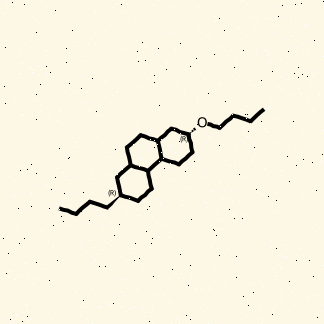 CCCCO[C@@H]1CCC2C(CCC3C[C@H](CCCC)CCC32)C1